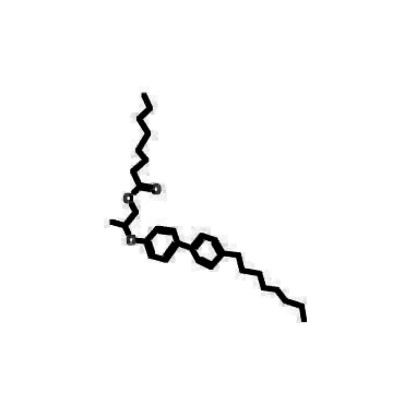 CCCCCCCCc1ccc(-c2ccc(OC(C)COC(=O)CCCCCCC)cc2)cc1